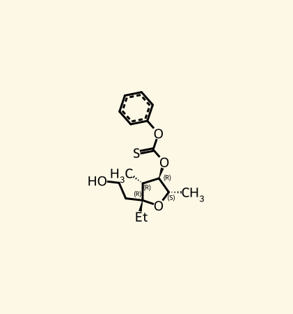 CC[C@]1(CCO)O[C@@H](C)[C@H](OC(=S)Oc2ccccc2)[C@H]1C